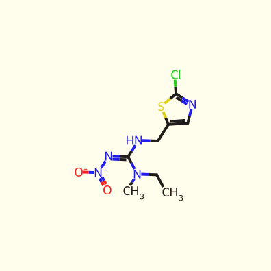 CCN(C)/C(=N\[N+](=O)[O-])NCc1cnc(Cl)s1